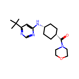 CC(C)(C)c1cc(N[C@H]2CC[C@@H](C(=O)N3CCOCC3)CC2)ncn1